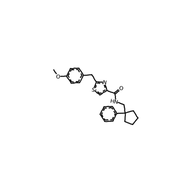 COc1ccc(Cc2nc(C(=O)NCC3(c4ccccc4)CCCC3)cs2)cc1